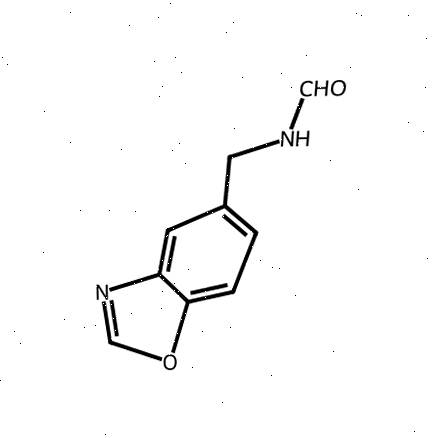 O=CNCc1ccc2ocnc2c1